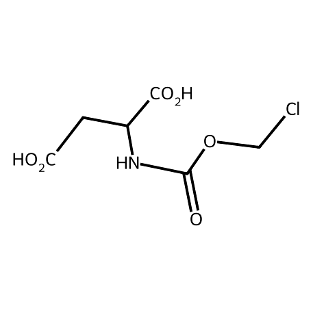 O=C(O)CC(NC(=O)OCCl)C(=O)O